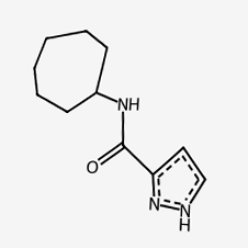 O=C(NC1CCCCCC1)c1cc[nH]n1